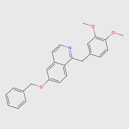 COc1ccc(Cc2nccc3cc(OCc4ccccc4)ccc23)cc1OC